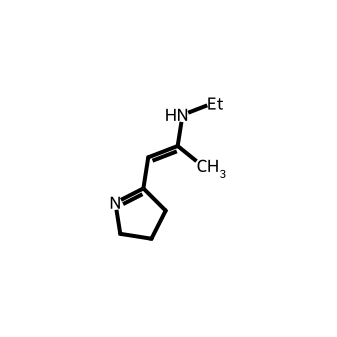 CCN/C(C)=C/C1=NCCC1